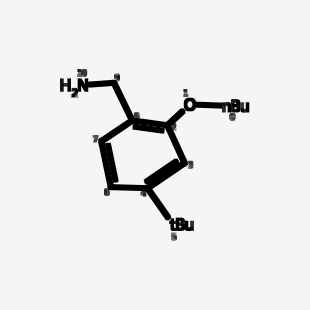 CCCCOc1cc(C(C)(C)C)ccc1CN